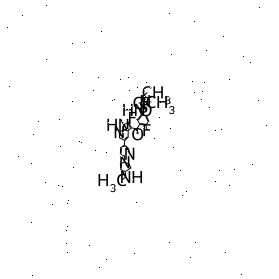 CCN(C)S(=O)(=O)Nc1ccc(F)c(C(=O)c2c[nH]c3ncc(-c4ccc(N5CCC(NC)CC5)nc4)cc23)c1F